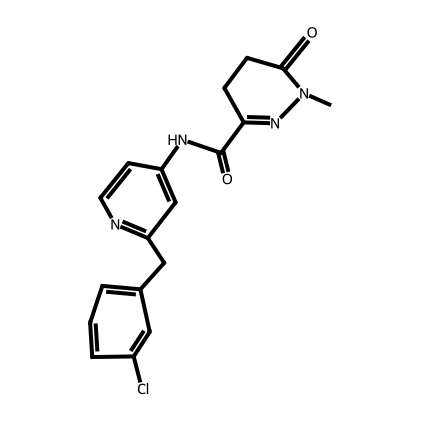 CN1N=C(C(=O)Nc2ccnc(Cc3cccc(Cl)c3)c2)CCC1=O